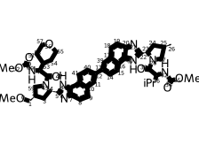 COC[C@H]1C[C@@H](c2nc3ccc4cc(-c5ccc6c(ccc7nc([C@@H]8C[C@H](C)CN8C(=O)C(NC(=O)OC)C(C)C)[nH]c76)c5)ccc4c3[nH]2)N(C(=O)C(NC(=O)OC)C2CCOCC2)C1